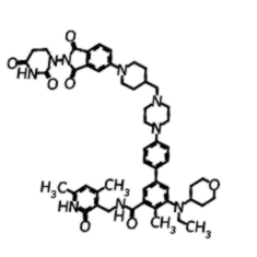 CCN(c1cc(-c2ccc(N3CCN(CC4CCN(c5ccc6c(c5)C(=O)N(N5CCC(=O)NC5=O)C6=O)CC4)CC3)cc2)cc(C(=O)NCc2c(C)cc(C)[nH]c2=O)c1C)C1CCOCC1